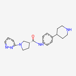 O=C(Nc1ccc(C2CCNCC2)cc1)[C@@H]1CCN(c2cccnn2)C1